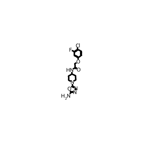 Nc1nnc(N2CCC(NC(=O)COc3ccc(Cl)c(F)c3)CC2)o1